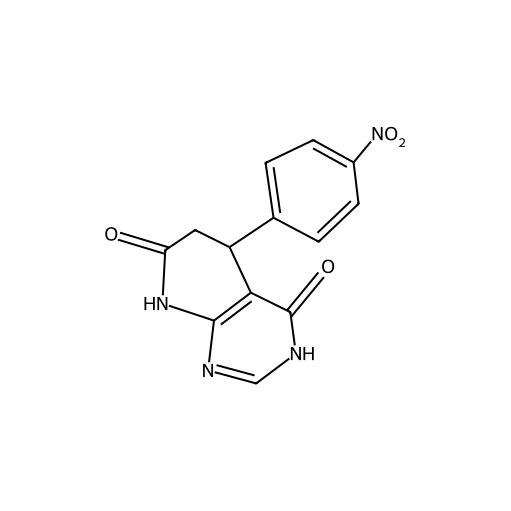 O=C1CC(c2ccc([N+](=O)[O-])cc2)c2c(nc[nH]c2=O)N1